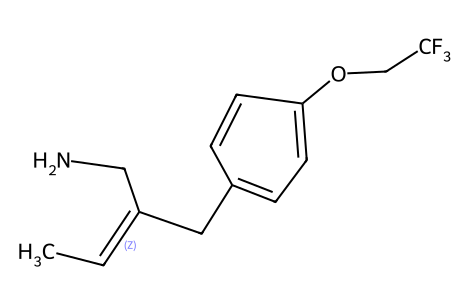 C/C=C(\CN)Cc1ccc(OCC(F)(F)F)cc1